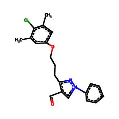 Cc1cc(OCCCc2nn(-c3ccccc3)cc2C=O)cc(C)c1Cl